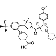 COc1ccc([C@@H]2CN(C3CCCC3)C[C@@]2(F)C(=O)N2CC(c3ccc(C(F)(F)F)cc3N3CCC(C(=O)O)CC3)C(C)(C)C2)cc1